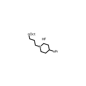 CCCCCCCCCCCN1CCC(CCC)CC1.F